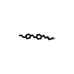 CCCC1CCC(CCC2CCC(CCC=CC#N)CC2)CC1